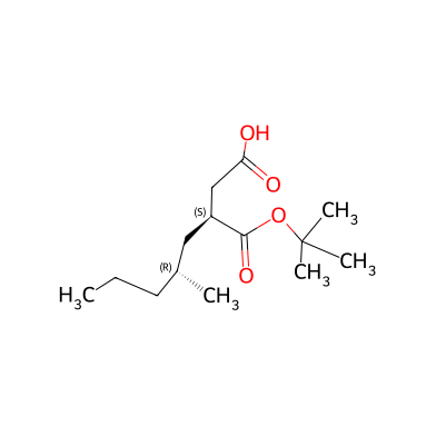 CCC[C@@H](C)C[C@@H](CC(=O)O)C(=O)OC(C)(C)C